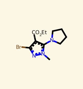 CCOC(=O)c1c(Br)nn(C)c1N1CCCC1